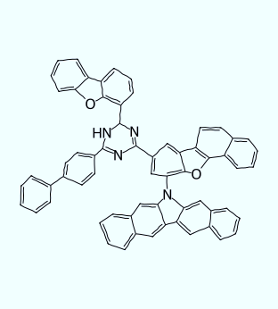 c1ccc(-c2ccc(C3=NC(c4cc(-n5c6cc7ccccc7cc6c6cc7ccccc7cc65)c5oc6c7ccccc7ccc6c5c4)=NC(c4cccc5c4oc4ccccc45)N3)cc2)cc1